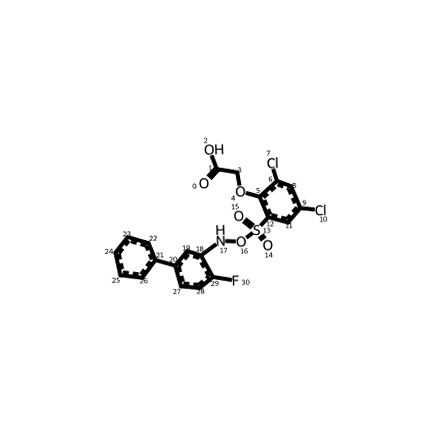 O=C(O)COc1c(Cl)cc(Cl)cc1S(=O)(=O)ONc1cc(-c2ccccc2)ccc1F